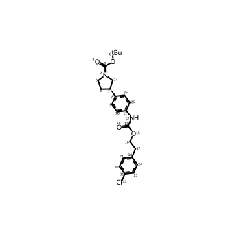 CC(C)(C)OC(=O)N1CC[C@H](c2ccc(NC(=O)OCCc3ccc(Cl)cc3)cc2)C1